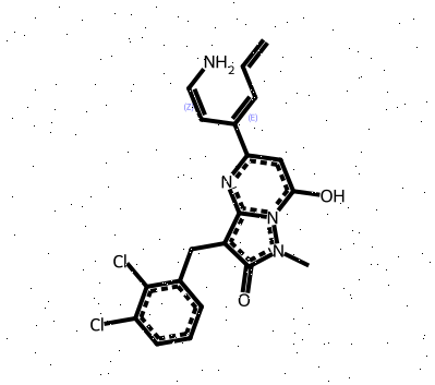 C=C/C=C(\C=C/N)c1cc(O)n2c(n1)c(Cc1cccc(Cl)c1Cl)c(=O)n2C